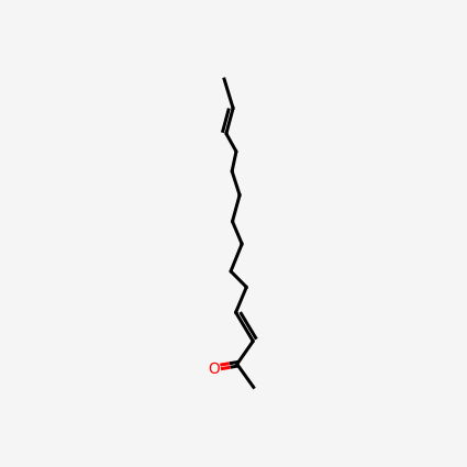 CC=CCCCCCCCC=CC(C)=O